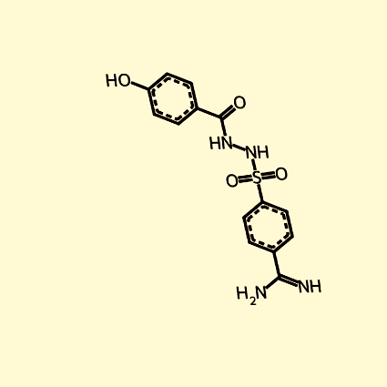 N=C(N)c1ccc(S(=O)(=O)NNC(=O)c2ccc(O)cc2)cc1